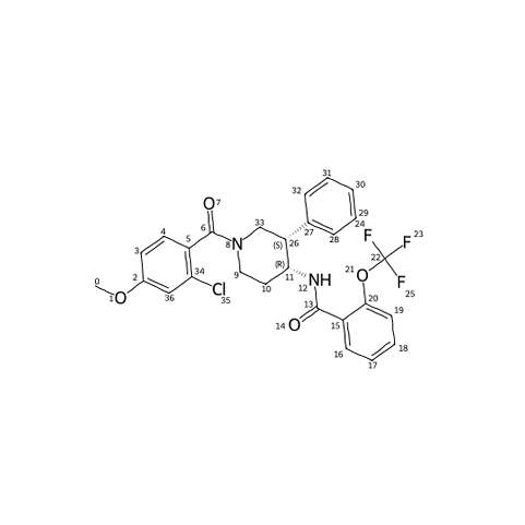 COc1ccc(C(=O)N2CC[C@@H](NC(=O)c3ccccc3OC(F)(F)F)[C@@H](c3ccccc3)C2)c(Cl)c1